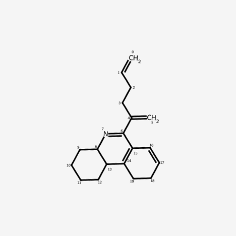 C=CCCC(=C)C1=NC2CCCCC2C2=C1C=CCC2